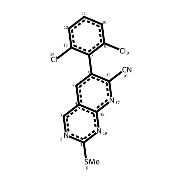 CSc1ncc2cc(-c3c(Cl)cccc3Cl)c(C#N)nc2n1